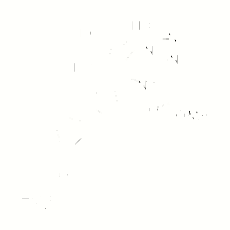 COC(=O)C[C@@H]1N=C(c2ccc(-c3cccc(COCC(=O)O)c3)cc2)c2c(sc(C)c2C)-n2c(C)nnc21